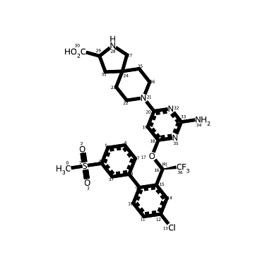 CS(=O)(=O)c1cccc(-c2ccc(Cl)cc2[C@@H](Oc2cc(N3CCC4(CC3)CNC(C(=O)O)C4)nc(N)n2)C(F)(F)F)c1